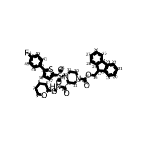 O=C(NOC1CCCCO1)[C@H]1CN(C(=O)OCC2c3ccccc3-c3ccccc32)CCN1S(=O)(=O)c1ccc(-c2ccc(F)cc2)s1